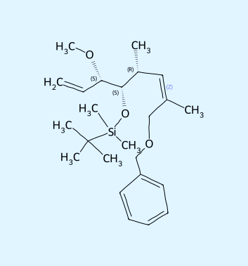 C=C[C@H](OC)[C@@H](O[Si](C)(C)C(C)(C)C)[C@H](C)/C=C(/C)COCc1ccccc1